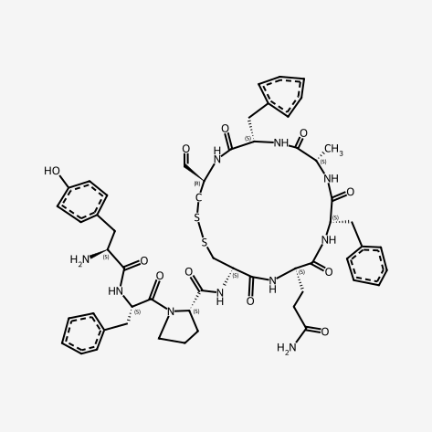 C[C@@H]1NC(=O)[C@H](Cc2ccccc2)NC(=O)[C@H](CCC(N)=O)NC(=O)[C@H](NC(=O)[C@@H]2CCCN2C(=O)[C@H](Cc2ccccc2)NC(=O)[C@@H](N)Cc2ccc(O)cc2)CSSC[C@@H](C=O)NC(=O)[C@H](Cc2ccccc2)NC1=O